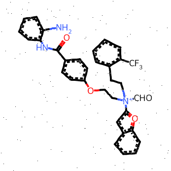 Nc1ccccc1NC(=O)c1ccc(OCC[N+](C=O)(CCc2ccccc2C(F)(F)F)c2cc3ccccc3o2)cc1